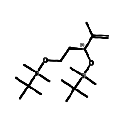 C=C(C)[C@H](CCO[Si](C)(C)C(C)(C)C)O[Si](C)(C)C(C)(C)C